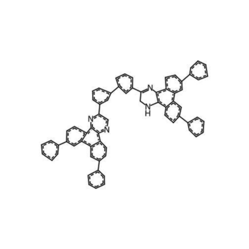 c1ccc(-c2ccc3c4c(c5ccc(-c6ccccc6)cc5c3c2)NCC(c2cccc(-c3cccc(-c5cnc6c7ccc(-c8ccccc8)cc7c7cc(-c8ccccc8)ccc7c6n5)c3)c2)=N4)cc1